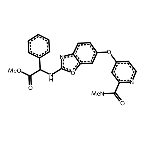 CNC(=O)c1cc(Oc2ccc3nc(NC(C(=O)OC)c4ccccc4)oc3c2)ccn1